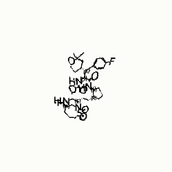 COC(=O)N[C@H](C(=O)N[C@H]1CCC[C@@H]1CC[C@H]1CN[C@@H]2CCCS(=O)(=O)N1C2)[C@@H](c1ccc(F)cc1)C1CCOC(C)(C)C1